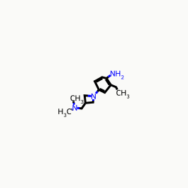 CCc1cc(N2CC(CN(C)C)C2)ccc1N